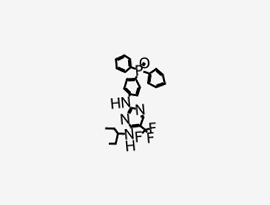 CCC(CC)Nc1nc(Nc2ccc(P(=O)(c3ccccc3)c3ccccc3)cc2)ncc1C(F)(F)F